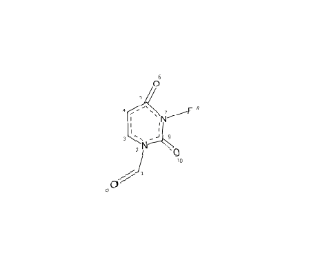 O=Cn1ccc(=O)n(F)c1=O